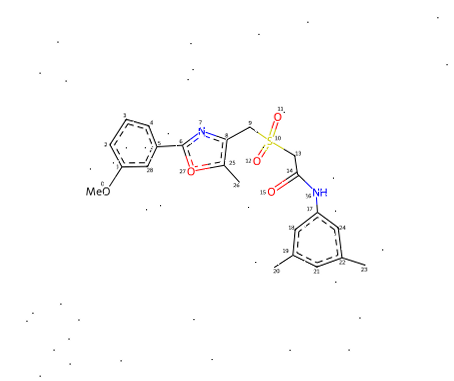 COc1cccc(-c2nc(CS(=O)(=O)CC(=O)Nc3cc(C)cc(C)c3)c(C)o2)c1